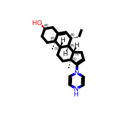 CC[C@H]1C=C2C[C@H](O)CC[C@]2(C)[C@H]2CC[C@]3(C)C(N4C=CNC=C4)=CC[C@H]3[C@H]12